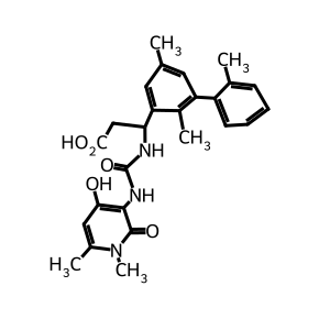 Cc1cc(-c2ccccc2C)c(C)c(C(CC(=O)O)NC(=O)Nc2c(O)cc(C)n(C)c2=O)c1